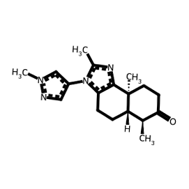 Cc1nc2c(n1-c1cnn(C)c1)CC[C@H]1[C@H](C)C(=O)CC[C@]21C